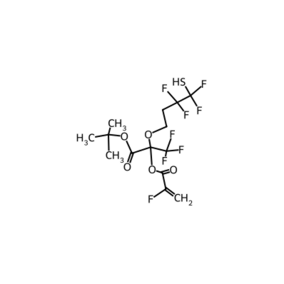 C=C(F)C(=O)OC(OCCC(F)(F)C(F)(F)S)(C(=O)OC(C)(C)C)C(F)(F)F